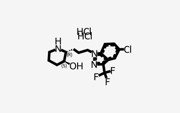 Cl.Cl.O[C@H]1CCCN[C@@H]1CCCn1nc(C(F)(F)F)c2cc(Cl)ccc21